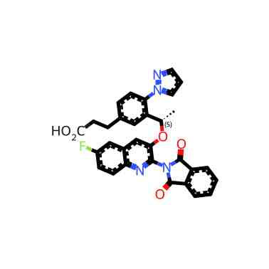 C[C@H](Oc1cc2cc(F)ccc2nc1N1C(=O)c2ccccc2C1=O)c1cc(CCC(=O)O)ccc1-n1cccn1